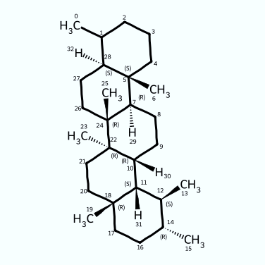 CC1CCC[C@]2(C)[C@H]3CC[C@@H]4[C@@H]5[C@@H](C)[C@H](C)CC[C@]5(C)CC[C@@]4(C)[C@]3(C)CC[C@@H]12